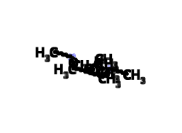 CCCCCCC/C=C\COCC(C)(C)CCCCCC(CCCCCC(C)(C)COC/C=C\CCCCCCC)OC(=O)CCCN(C)C